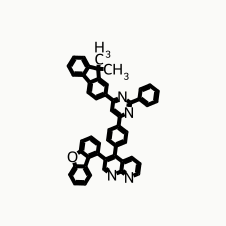 CC1(C)c2ccccc2-c2ccc(-c3cc(-c4ccc(-c5c(-c6cccc7oc8ccccc8c67)cnc6ncccc56)cc4)nc(-c4ccccc4)n3)cc21